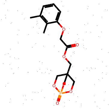 Cc1cccc(OCC(=O)OCC23COP(=O)(OC2)OC3)c1C